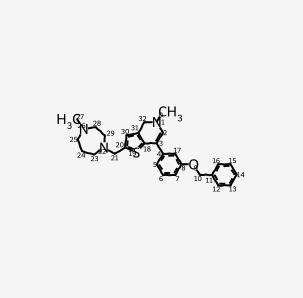 CN1C=C(c2cccc(OCc3ccccc3)c2)c2sc(CN3CCCN(C)CC3)cc2C1